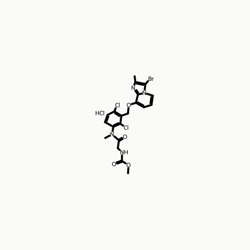 COC(=O)NCC(=O)N(C)c1ccc(Cl)c(COc2cccn3c(Br)c(C)nc23)c1Cl.Cl